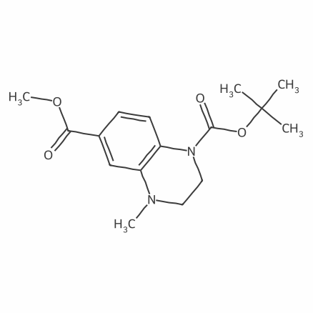 COC(=O)c1ccc2c(c1)N(C)CCN2C(=O)OC(C)(C)C